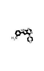 Nc1cccc(-c2cc3c(N4CCOCC4)ncnc3[nH]2)c1